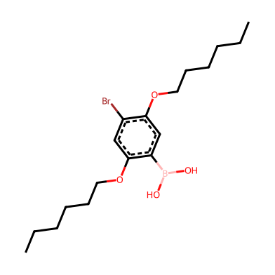 CCCCCCOc1cc(B(O)O)c(OCCCCCC)cc1Br